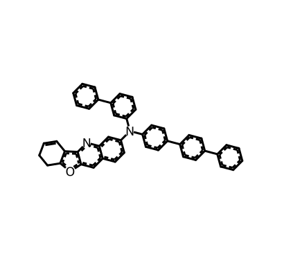 C1=Cc2c(oc3cc4ccc(N(c5ccc(-c6ccc(-c7ccccc7)cc6)cc5)c5cccc(-c6ccccc6)c5)cc4nc23)CC1